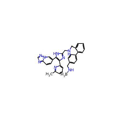 BNCc1ccc(-c2ccccc2CNCc2nc(-c3cccc(C)n3)c(-c3ccc4ncnn4c3)[nH]2)cc1